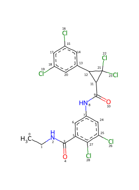 CCNC(=O)c1cc(NC(=O)C2C(c3cc(Cl)cc(Cl)c3)C2(Cl)Cl)cc(Cl)c1Cl